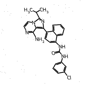 CC(C)c1nc(-c2ccc(NC(=O)Nc3cccc(Cl)c3)c3ccccc23)c2c(N)nccn12